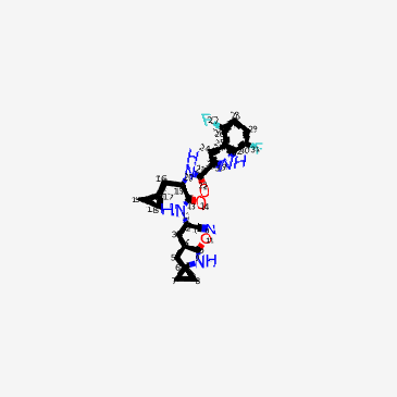 N#CC(CC1CC2(CC2)NC1=O)NC(=O)C(CC1CC1)NC(=O)c1cc2c(F)ccc(F)c2[nH]1